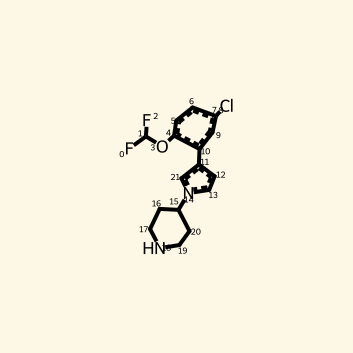 FC(F)Oc1ccc(Cl)cc1-c1ccn(C2CCNCC2)c1